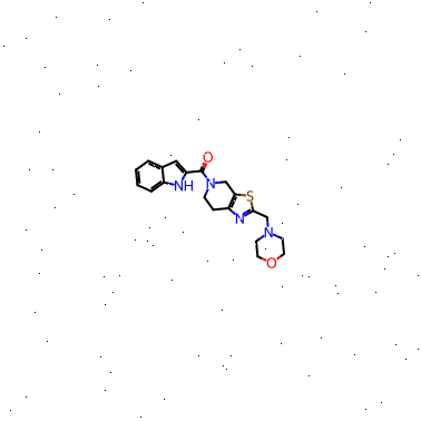 O=C(c1cc2ccccc2[nH]1)N1CCc2nc(CN3CCOCC3)sc2C1